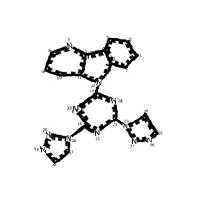 c1ccc2c(c1)c1ncccc1n2-c1nc(-n2ccnn2)nc(-n2ccnn2)n1